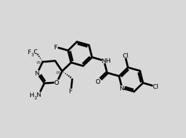 NC1=N[C@H](C(F)(F)F)C[C@@](CF)(c2cc(NC(=O)c3ncc(Cl)cc3Cl)ccc2F)O1